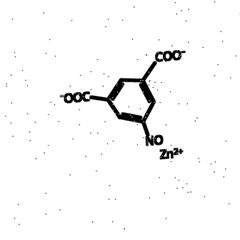 O=Nc1cc(C(=O)[O-])cc(C(=O)[O-])c1.[Zn+2]